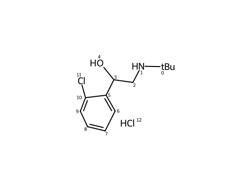 CC(C)(C)NCC(O)c1ccccc1Cl.Cl